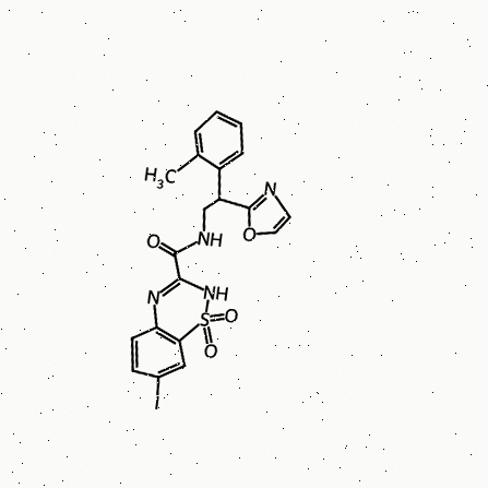 Cc1ccccc1C(CNC(=O)C1=Nc2ccc(I)cc2S(=O)(=O)N1)c1ncco1